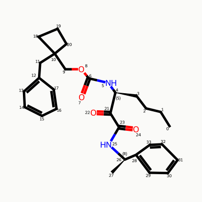 CCCC[C@H](NC(=O)OCC1(Cc2ccccc2)CCC1)C(=O)C(=O)N[C@H](C)c1ccccc1